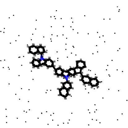 c1ccc2c(c1)-c1cc3c4cc(-c5ccc6c(c5)c5ccccc5n6-c5cccc6ccccc56)ccc4n(-c4ccc5ccccc5c4)c3cc1C2c1ccc2ccccc2c1